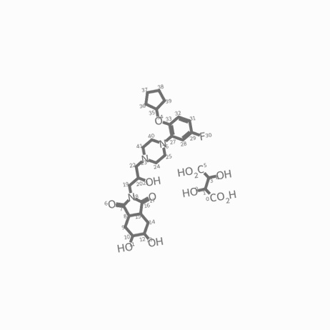 O=C(O)C(O)C(O)C(=O)O.O=C1C2CC(O)C(O)CC2C(=O)N1CC(O)CN1CCN(c2cc(F)ccc2OC2CCCC2)CC1